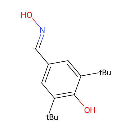 CC(C)(C)c1cc([C]=NO)cc(C(C)(C)C)c1O